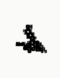 C=C[Si](C)(C)C1OC(=O)C(CC)(OC(=O)NC)c2cc3n(c(=O)c21)Cc1cc2cc(O)ccc2nc1-3